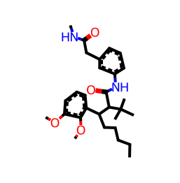 CCCCCC(c1cccc(OC)c1OC)C(C(=O)Nc1cccc(CC(=O)NC)c1)C(C)(C)C